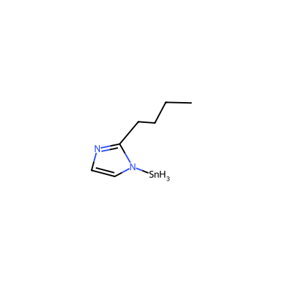 CCCCc1ncc[n]1[SnH3]